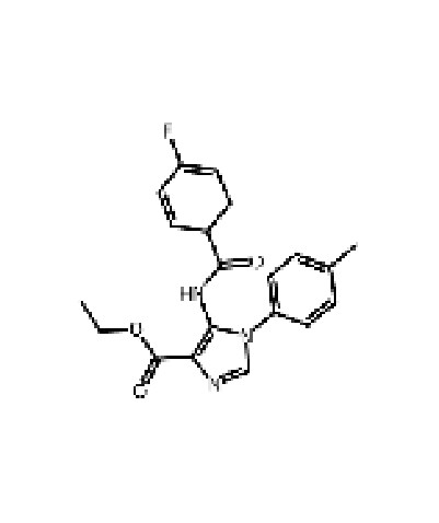 CCOC(=O)c1ncn(-c2ccc(C)cc2)c1NC(=O)C1C=CC(F)=CC1